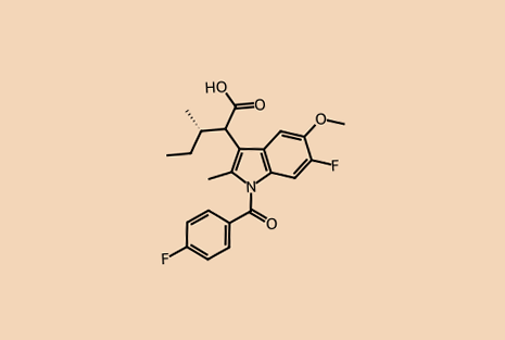 CC[C@H](C)C(C(=O)O)c1c(C)n(C(=O)c2ccc(F)cc2)c2cc(F)c(OC)cc12